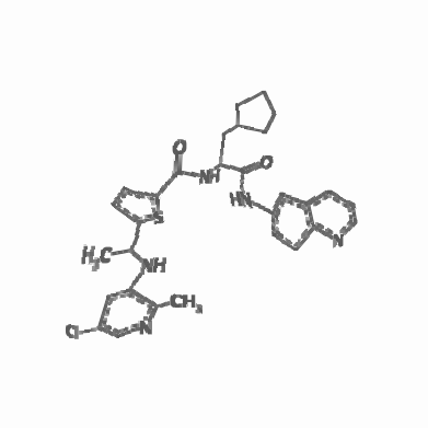 Cc1ncc(Cl)cc1NC(C)c1ccc(C(=O)NC(CC2CCCC2)C(=O)Nc2ccc3ncccc3c2)s1